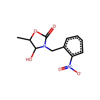 CC1OC(=O)N(Cc2ccccc2[N+](=O)[O-])C1O